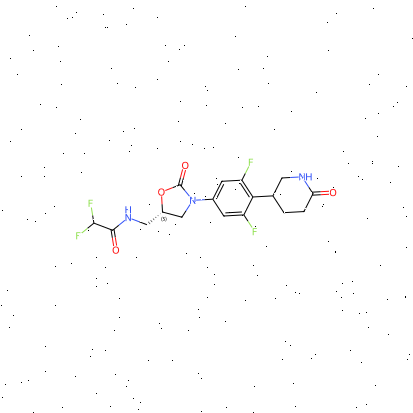 O=C1CCC(c2c(F)cc(N3C[C@H](CNC(=O)C(F)F)OC3=O)cc2F)CN1